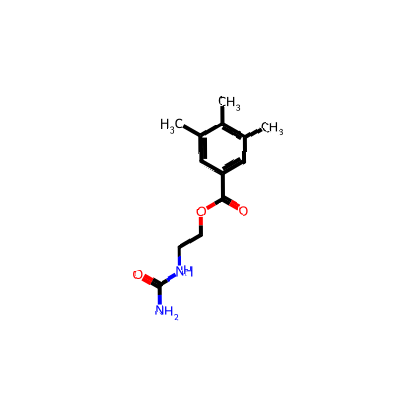 Cc1cc(C(=O)OCCNC(N)=O)cc(C)c1C